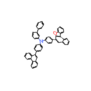 c1ccc(-c2cccc(N(c3ccc(-c4cc5ccccc5c5ccccc45)cc3)c3ccc(-c4cc5ccccc5c5c4oc4ccccc45)cc3)c2)cc1